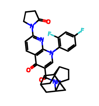 O=C(NC12CC3CC4CCC1(C2)C4C3)c1cn(-c2ccc(F)cc2F)c2nc(N3CCCC3=O)ccc2c1=O